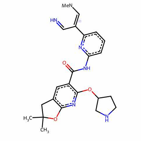 CN/C=C(\C=N)c1cccc(NC(=O)c2cc3c(nc2OC2CCNC2)OC(C)(C)C3)n1